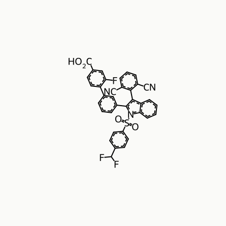 N#Cc1cccc(C#N)c1-c1c(-c2cccc(-c3ccc(C(=O)O)cc3F)c2)n(S(=O)(=O)c2ccc(C(F)F)cc2)c2ccccc12